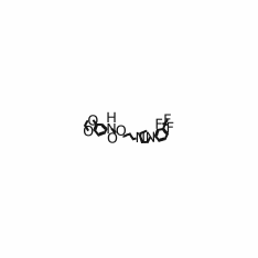 O=C(Nc1ccc2c(c1)OCCO2)OCCCN1CCN(c2cccc(C(F)(F)F)c2)CC1